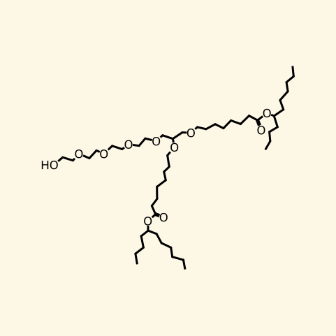 CCCCCCC(CCCC)OC(=O)CCCCCCCOCC(COCCOCCOCCOCCO)OCCCCCCCC(=O)OC(CCCC)CCCCCC